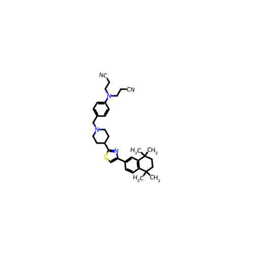 CC1(C)CCC(C)(C)c2cc(-c3csc(C4CCN(Cc5ccc(N(CCC#N)CCC#N)cc5)CC4)n3)ccc21